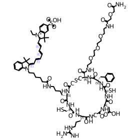 CC[N+]1=C(/C=C/C=C/C=C/C=C2/N(CCCCCC(=O)NCCCC[C@@H]3NC(=O)CSC[C@@H](C(=O)NCCOCCOCCOCCNC(=O)COCC(N)=O)NC(=O)[C@H](Cc4ccccc4)NC(=O)[C@H](S)NC(=O)[C@H](CC(=O)O)NC(=O)CNC(=O)[C@H](CCCNC(=N)N)NC(=O)[C@H](CS)NC3=O)c3ccccc3C2(C)C)C(C)(C)c2cc(S(=O)(=O)O)ccc21